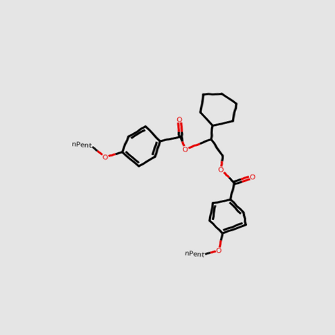 CCCCCOc1ccc(C(=O)OCC(OC(=O)c2ccc(OCCCCC)cc2)C2CCCCC2)cc1